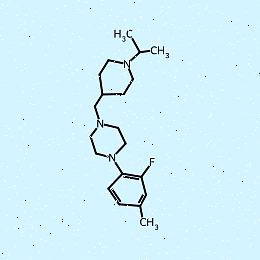 Cc1ccc(N2CCN(CC3CCN(C(C)C)CC3)CC2)c(F)c1